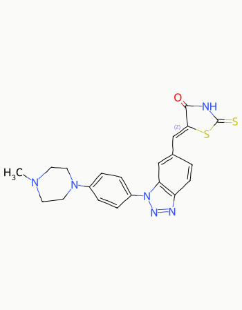 CN1CCN(c2ccc(-n3nnc4ccc(/C=C5\SC(=S)NC5=O)cc43)cc2)CC1